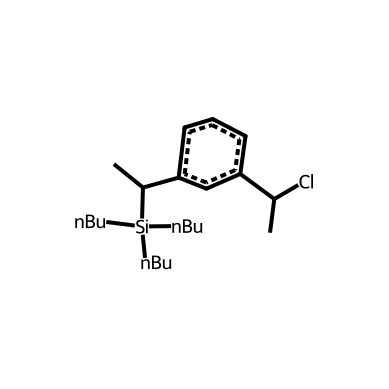 CCCC[Si](CCCC)(CCCC)C(C)c1cccc(C(C)Cl)c1